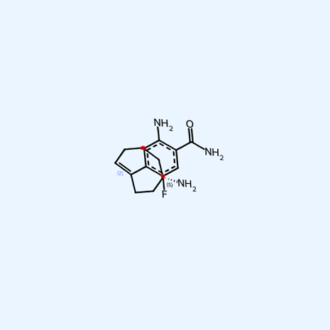 NC(=O)c1cc(F)c(/C2=C\CCC[C@H](N)CC2)cc1N